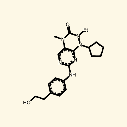 CCN1C(=O)N(C)c2cnc(Nc3ccc(CCO)cc3)nc2N1C1CCCC1